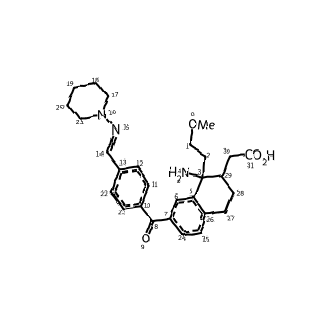 COCCC1(N)c2cc(C(=O)c3ccc(C=NN4CCCCC4)cc3)ccc2CCC1CC(=O)O